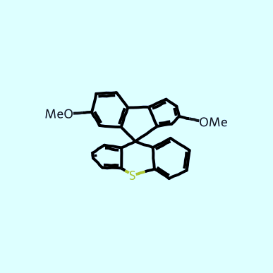 COc1ccc2c(c1)C1(c3ccccc3Sc3ccccc31)c1cc(OC)ccc1-2